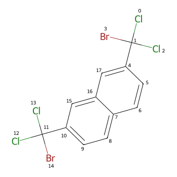 ClC(Cl)(Br)c1ccc2ccc(C(Cl)(Cl)Br)cc2c1